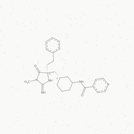 CN1C(=N)N[C@](CCc2ccccc2)(C[C@H]2CCCC(NC(=O)c3ccncc3)C2)C1=O